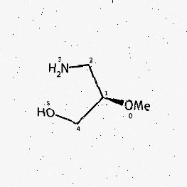 CO[C@H](CN)CO